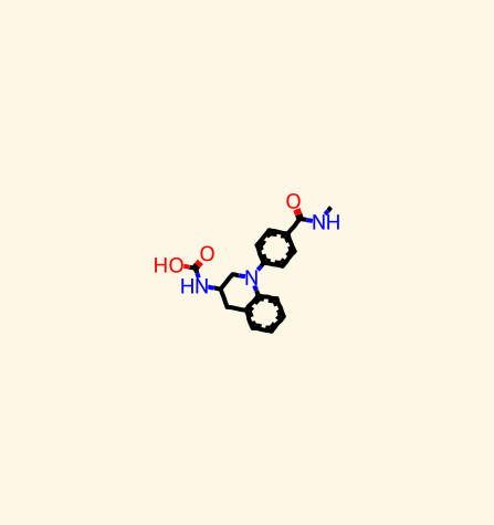 CNC(=O)c1ccc(N2CC(NC(=O)O)Cc3ccccc32)cc1